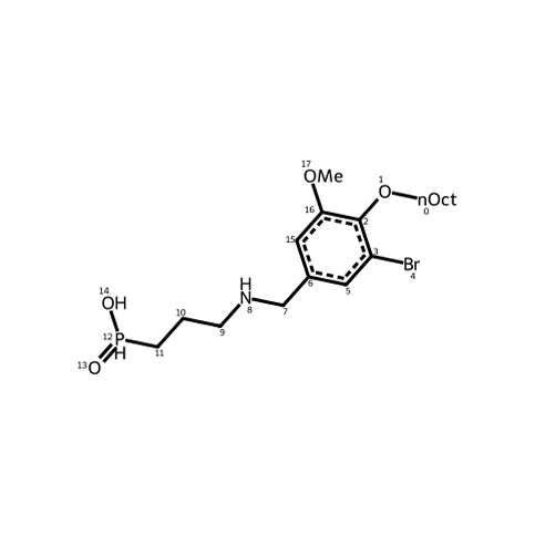 CCCCCCCCOc1c(Br)cc(CNCCC[PH](=O)O)cc1OC